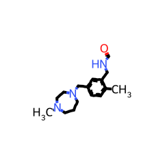 Cc1ccc(CN2CCCN(C)CC2)cc1CNC=O